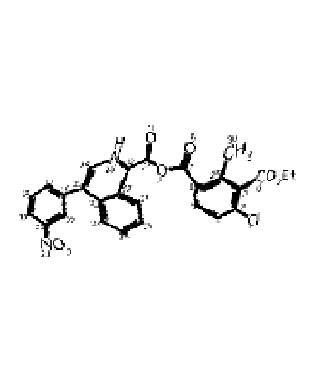 CCOC(=O)c1c(Cl)ccc(C(=O)OC(=O)C2NC=C(c3cccc([N+](=O)[O-])c3)c3ccccc32)c1C